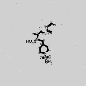 C=C(/N=C\C)N[C@@H](C)C(C)N(CC1CCN(S(N)(=O)=O)CC1)C(=O)O